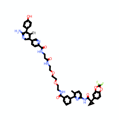 CCc1c(-c2ccc(C(=O)NCCC(=O)NCCOCCOCCNC(=O)c3cccc(-c4nc(NC(=O)C5(c6ccc7c(c6)OC(F)(F)O7)CC5)ccc4C)c3)nc2)cnc(N)c1-c1ccc(O)cc1